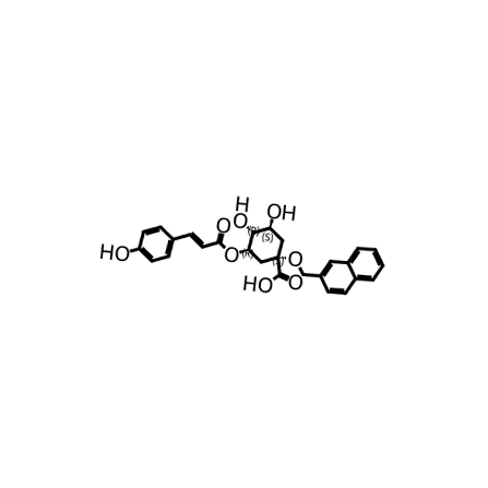 O=C(C=Cc1ccc(O)cc1)O[C@@H]1C[C@](OCc2ccc3ccccc3c2)(C(=O)O)C[C@H](O)[C@H]1O